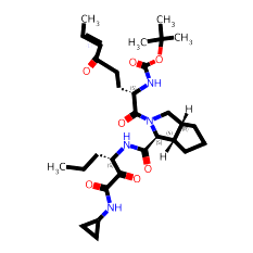 C/C=C/C(=O)CC[C@H](NC(=O)OC(C)(C)C)C(=O)N1C[C@@H]2CCC[C@@H]2[C@H]1C(=O)N[C@@H](CCC)C(=O)C(=O)NC1CC1